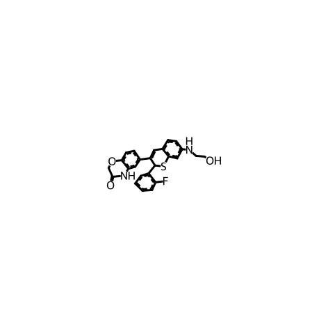 O=C1COc2ccc(C3=Cc4ccc(NCCO)cc4SC3c3ccccc3F)cc2N1